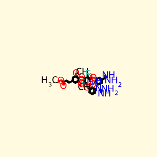 CCOC(=O)C=Cc1cc(OC)c(Oc2c(F)c(Oc3cccc(NC(=N)N)c3)nc(Oc3cc(C(=N)N)ccc3O)c2F)c(OC)c1